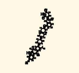 CCc1cc2c(cc1N1CCC(N3CCC4(CCC(Oc5cccc6c5CN(C5CCC(=O)NC5=O)C6=O)CC4)CC3)CC1)C(C)(C)c1[nH]c3cc(C#N)ccc3c1C2=O